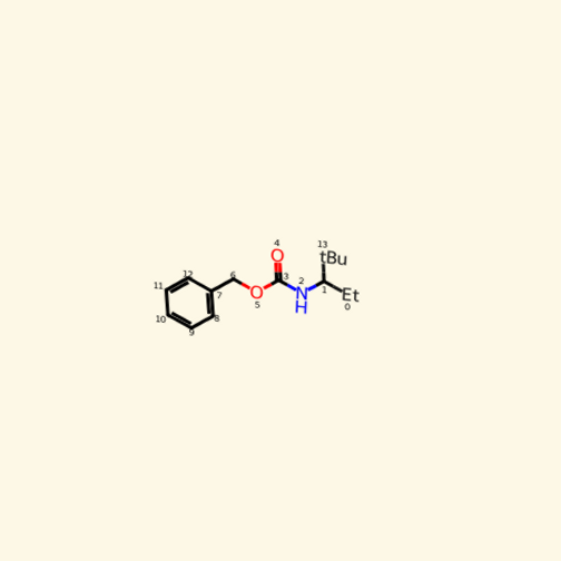 CCC(NC(=O)OCc1ccccc1)C(C)(C)C